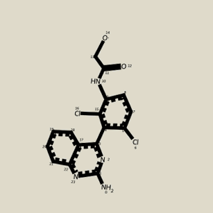 Nc1nc(-c2c(Cl)ccc(NC(=O)C[O])c2Cl)c2ccccc2n1